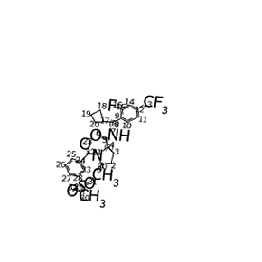 C[C@@H]1CC[C@H](C(=O)N[C@@H](c2ccc(C(F)(F)F)cc2F)C2CCC2)N1C(=O)c1cccc(S(C)(=O)=O)c1